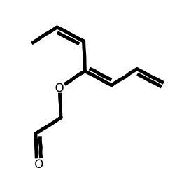 C=C/C=C(\C=C/C)OCC=O